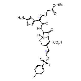 Cc1ccc(S(=O)(=O)O/C=C/C2=C(C(=O)O)N3C(=O)C(NC(=O)/C(=N\OCC(=O)OC(C)(C)C)c4csc(N)n4)[C@H]3SC2)cc1